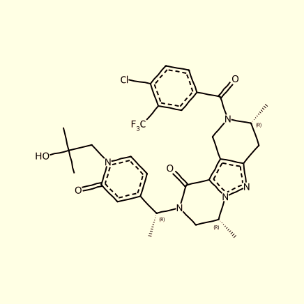 C[C@@H]1Cc2nn3c(c2CN1C(=O)c1ccc(Cl)c(C(F)(F)F)c1)C(=O)N([C@H](C)c1ccn(CC(C)(C)O)c(=O)c1)C[C@H]3C